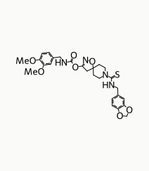 COc1ccc(CNC(=O)OC2=NOC3(CCN(C(=S)NCc4ccc5c(c4)OCO5)CC3)C2)cc1OC